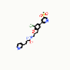 CS(=O)(=O)c1cncc(-c2cc(Cl)c3c(c2)CC(CNC(=O)C=Cc2cccnc2)O3)c1